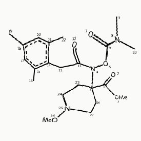 COC(=O)C1(N(OC(=O)N(C)C)C(=O)Cc2c(C)cc(C)cc2C)CCN(OC)CC1